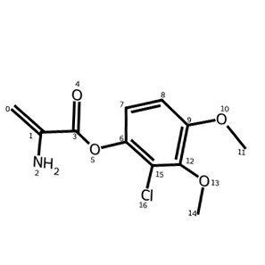 C=C(N)C(=O)Oc1ccc(OC)c(OC)c1Cl